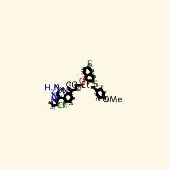 CCOC(=O)c1c(CCCOc2cc(SCc3ccc(OC)cc3)cc3cc(F)ccc23)c2ccc(Cl)c(-c3c(CN)nn4c3CCC4)c2n1C